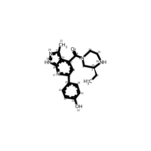 CC[C@H]1CN(C(=O)c2cc(-c3ccc(O)cc3)nc3[nH]nc(C)c23)CCN1